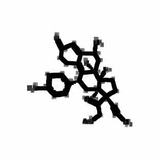 CC(=O)OCC(=O)[C@@]1(C#CC(F)(F)F)CC[C@H]2[C@@H]3CC(C)C4=CC(=O)CCC4=C3[C@@H](c3ccc(N)cc3)C[C@@]21C